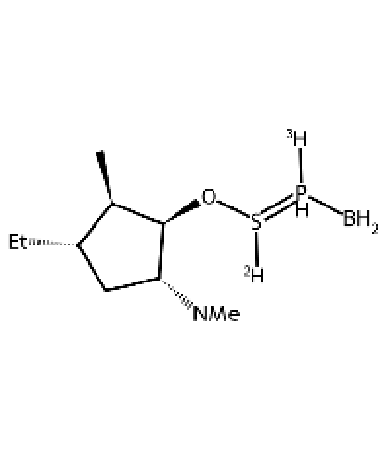 [2H]/S(O[C@@H]1[C@H](C)[C@@H](CC)C[C@H]1NC)=[PH](/[3H])B